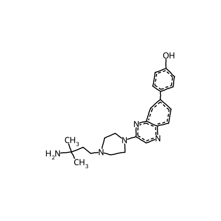 CC(C)(N)CCN1CCN(c2cnc3ccc(-c4ccc(O)cc4)cc3n2)CC1